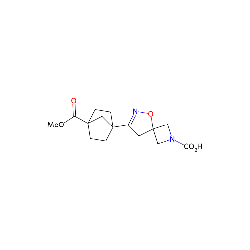 COC(=O)C12CCC(C3=NOC4(C3)CN(C(=O)O)C4)(CC1)C2